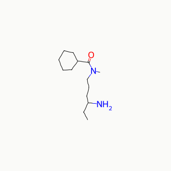 CCC(N)CCCN(C)C(=O)C1CCCCC1